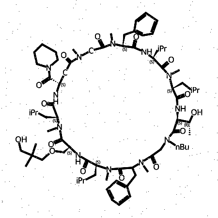 CCCCN1CC(=O)N(C)C(Cc2ccccc2)C(=O)N(C)[C@@H](CC(C)C)C(=O)N[C@@H](COCC(C)(C)CO)C(=O)N(C)[C@@H](CC(C)C)C(=O)N[C@H](C(=O)N2CCCCC2)CC(=O)N(C)CC(=O)N(C)[C@@H](Cc2ccccc2)C(=O)N[C@@H](C(C)C)C(=O)N(C)[C@@H](CC(C)C)C(=O)N[C@@H]([C@@H](C)O)C1=O